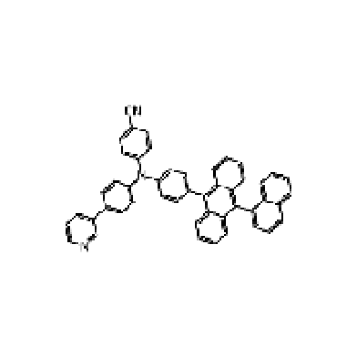 N#Cc1ccc(N(c2ccc(-c3cccnc3)cc2)c2ccc(-c3c4ccccc4c(-c4cccc5ccccc45)c4ccccc34)cc2)cc1